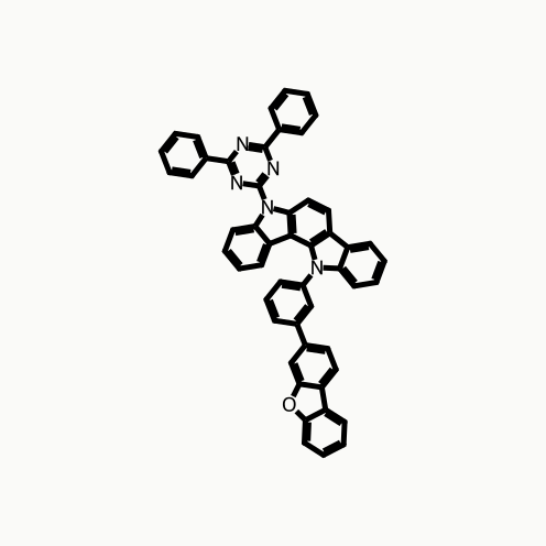 c1ccc(-c2nc(-c3ccccc3)nc(-n3c4ccccc4c4c3ccc3c5ccccc5n(-c5cccc(-c6ccc7c(c6)oc6ccccc67)c5)c34)n2)cc1